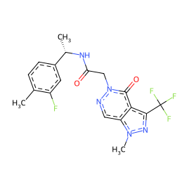 Cc1ccc([C@H](C)NC(=O)Cn2ncc3c(c(C(F)(F)F)nn3C)c2=O)cc1F